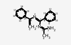 C=C(/N=C(\N=C(\C)N)c1ccccc1)c1ccccc1